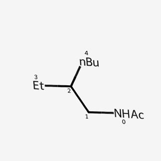 [CH2]C(=O)NCC(CC)CCCC